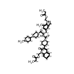 CCC(=O)OCn1ncc2cc(C[C@@H](NC(=O)N3CCC(c4cc5ccccc5n(COC(=O)CC)c4=O)CC3)C(=O)N3CCN(C4CCN(C)CC4)CC3)cc(C)c21